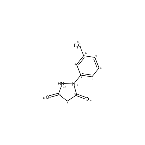 O=C1CC(=O)N(c2cccc(C(F)(F)F)c2)N1